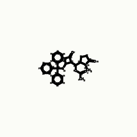 CC(=O)OC(C1C(=O)NC1SC(c1ccccc1)(c1ccccc1)c1ccccc1)C1CCC(=O)N1C